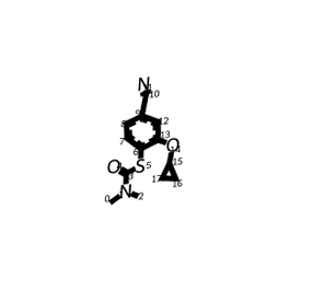 CN(C)C(=O)Sc1ccc(C#N)cc1OC1CC1